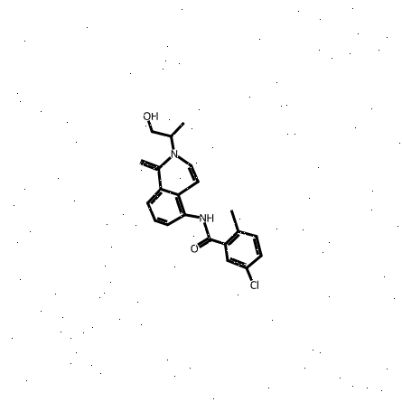 C=C1c2cccc(NC(=O)c3cc(Cl)ccc3C)c2C=CN1C(C)CO